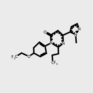 Cn1nccc1-c1cc(=O)n(C2=CCC(OCC(F)(F)F)C=C2)c(CCC(F)(F)F)n1